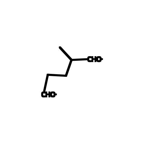 CC([C]=O)CC[C]=O